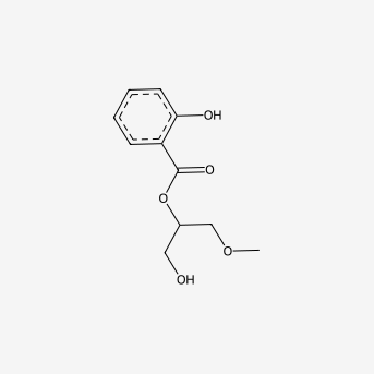 COCC(CO)OC(=O)c1ccccc1O